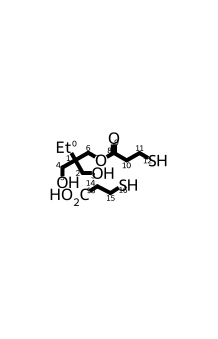 CCC(CO)(CO)COC(=O)CCS.O=C(O)CCS